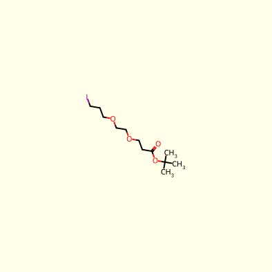 CC(C)(C)OC(=O)CCOCCOCCCI